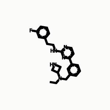 CCN(Cc1cccc(-c2ccnc(NCCc3cccc(F)c3)n2)c1)C1CNC1